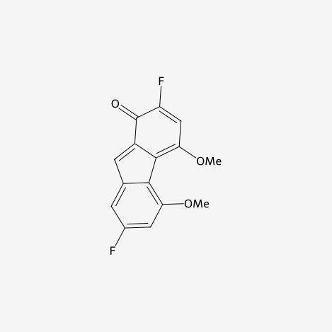 COC1=C2C(=Cc3cc(F)cc(OC)c32)C(=O)C(F)=C1